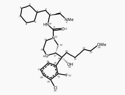 CNC[C@H](CC1CCCCC1)NC(=O)N1CCO[C@@H]([C@@](O)(CCCCOC)c2cccc(Cl)c2F)C1